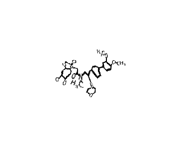 COc1ccc(-c2ccc(C(CN(C)C(=O)CN3C(=O)COc4cc(Cl)c(Cl)cc43)N3CCOCC3)cc2)cc1OC